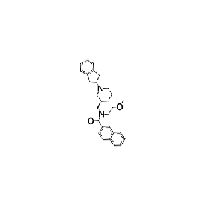 COCCN(C[C@@H]1CCCN(C2Cc3ccccc3C2)C1)C(=O)c1ccc2ccccc2c1